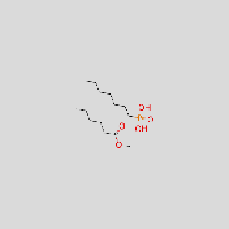 CCCCCC(=O)OC.CCCCCCCP(=O)(O)O